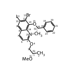 CO[C@@H](C)COc1ccc2cc(I)c(Br)c(O[C@@H](C)c3ccccc3)c2n1